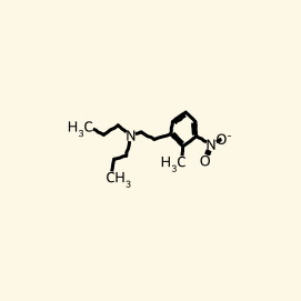 CCCN(CCC)CCc1cccc([N+](=O)[O-])c1C